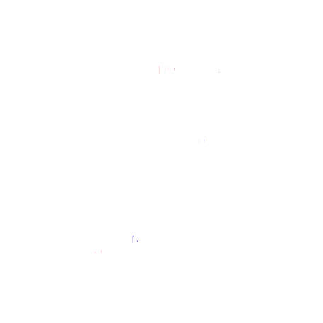 CC12CCC/C(=C\C=C3\CCCC(O)C3)C1CCC2CCCN1CCOCC1